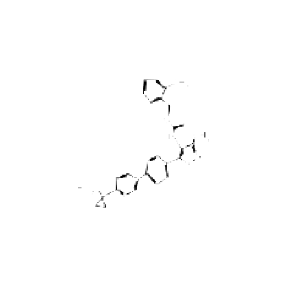 Cc1ccccc1COC(=O)Nc1c(C)nsc1-c1ccc(-c2ccc(C3(C(=O)O)CC3)cc2)cc1